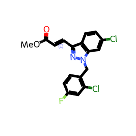 COC(=O)/C=C/c1nn(Cc2ccc(F)cc2Cl)c2cc(Cl)ccc12